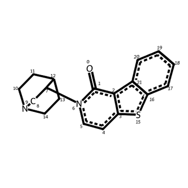 O=c1c2c(ccn1C1CN3CCC1CC3)sc1ccccc12